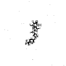 Cc1nc(N(C)c2cnn(Cc3ccc(C(F)(F)F)nc3)c2)nc2c1NC(=O)C(C)N2C